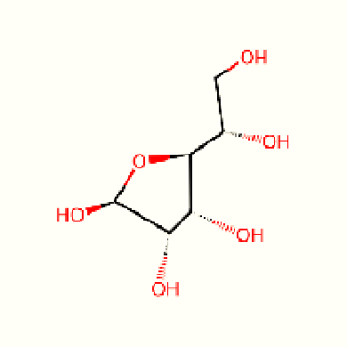 OC[C@H](O)[C@@H]1O[C@H](O)[C@@H](O)[C@H]1O